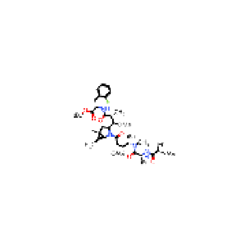 CC[C@H](C)[C@@H]([C@@H](CC(=O)N1C2=C(C)[C@H]2C[C@H]1[C@H](OC)[C@@H](C)C(=O)N[C@@H](Cc1ccccc1F)C(=O)OC(C)(C)C)OC)N(C)C(=O)[C@@H](NC(=O)[C@@H](NC)C(C)C)C(C)C